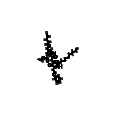 C=CCCCCCCCCC(=O)N[C@@H](CCOc1ccccc1)C(=O)NCC(=O)N1[C@H]2C[C@@]2(COCCCC=C)C[C@H]1C(=O)OCC